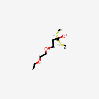 CCOCCOCCC([O])(SC)SC